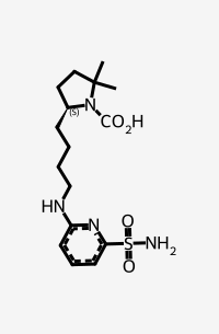 CC1(C)CC[C@H](CCCCNc2cccc(S(N)(=O)=O)n2)N1C(=O)O